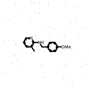 COc1ccc(CNc2ncccc2C)cc1